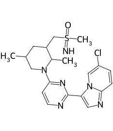 CC1CC(CS(C)(=N)=O)C(C)N(c2ccnc(-c3cnc4ccc(Cl)cn34)n2)C1